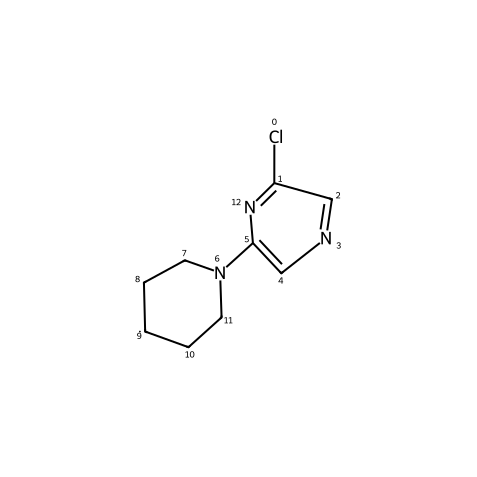 Clc1cncc(N2CC[CH]CC2)n1